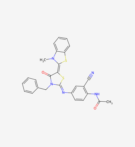 CC(=O)Nc1ccc(/N=C2\S/C(=C3\Sc4ccccc4N3C)C(=O)N2Cc2ccccc2)cc1C#N